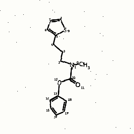 CN(CCCc1cccs1)C(=O)Oc1ccccc1